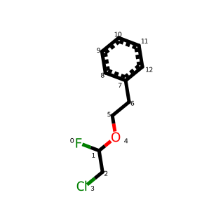 FC(CCl)OCCc1ccccc1